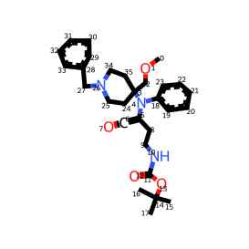 COCC1(N(C(=C=O)CCNC(=O)OC(C)(C)C)c2ccccc2)CCN(Cc2ccccc2)CC1